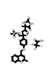 Cc1cc(COc2ccc(C3(CNS(C)(=O)=O)CC(C4(C)NC(=O)NC4=O)=NO3)cc2)c2ccccc2n1.O=C(O)C(F)(F)F